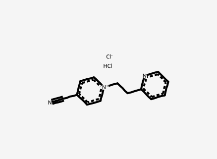 Cl.N#Cc1cc[n+](CCc2ccccn2)cc1.[Cl-]